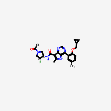 CCC(=O)N1C[C@@H](F)[C@H](NC(=O)c2c(C)[nH]c3c(-c4cc(C(F)(F)F)ccc4OCC4CC4)ncnc23)C1